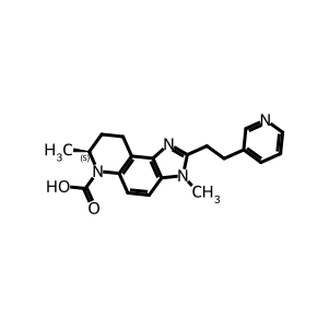 C[C@H]1CCc2c(ccc3c2nc(CCc2cccnc2)n3C)N1C(=O)O